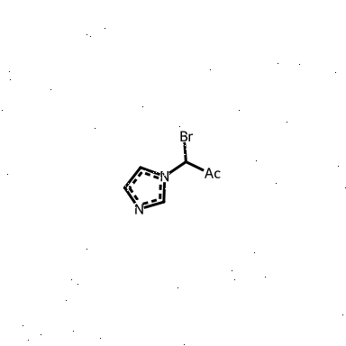 CC(=O)C(Br)n1ccnc1